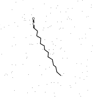 [CH2]CCCCCCCCCCCCC=C=O